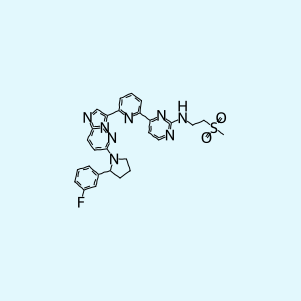 CS(=O)(=O)CCNc1nccc(-c2cccc(-c3cnc4ccc(N5CCCC5c5cccc(F)c5)nn34)n2)n1